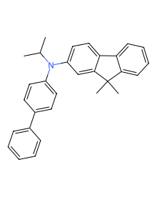 CC(C)N(c1ccc(-c2ccccc2)cc1)c1ccc2c(c1)C(C)(C)c1ccccc1-2